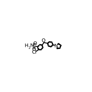 NS(=O)(=O)c1cc(C(=O)c2ccc(-n3cccc3)cc2)ccc1Cl